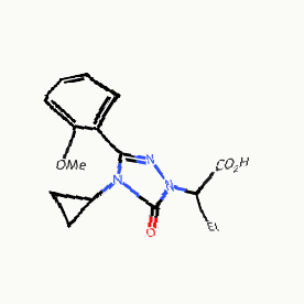 CCC(C(=O)O)n1nc(-c2ccccc2OC)n(C2CC2)c1=O